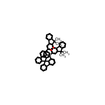 CC1(C)c2ccccc2-c2cc(-c3ccccc3N(c3ccc4c(c3)C(C)(C)c3ccccc3-4)c3cccc4c3C3(c5ccccc5-c5ccccc53)c3ccccc3-4)ccc21